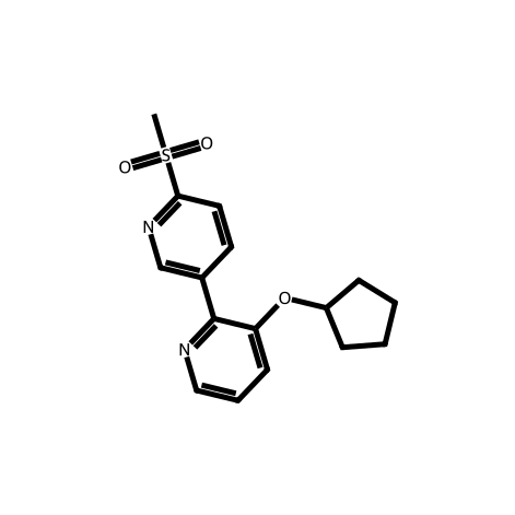 CS(=O)(=O)c1ccc(-c2ncccc2OC2CCCC2)cn1